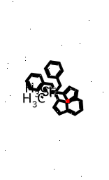 C[Si](C)=[Ti]([CH2]c1ccccc1)([CH2]c1ccccc1)([C]1=CC=CC1)[CH]1C=Cc2ccccc21